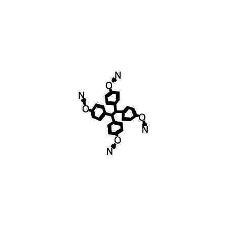 N#COc1ccc(C(c2ccc(OC#N)cc2)C(c2ccc(OC#N)cc2)c2ccc(OC#N)cc2)cc1